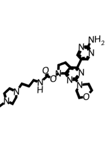 CN1CCN(CCCNC(=O)ON2CCc3c(-c4cnc(N)nc4)nc(N4CCOCC4)nc32)CC1